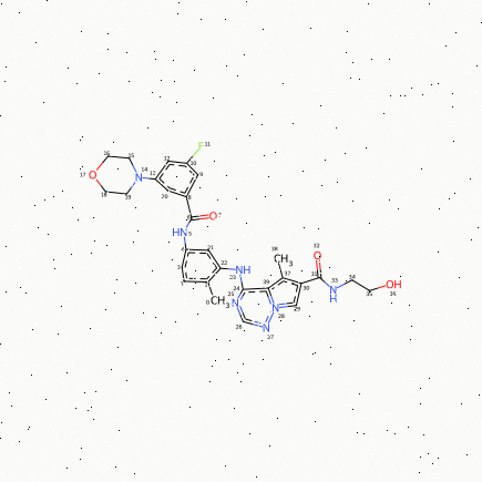 Cc1ccc(NC(=O)c2cc(F)cc(N3CCOCC3)c2)cc1Nc1ncnn2cc(C(=O)NCCO)c(C)c12